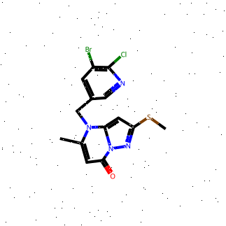 CSc1cc2n(Cc3cnc(Cl)c(Br)c3)c(C)cc(=O)n2n1